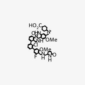 COc1cc(CNc2cccc(-c3cccc(-c4cc(F)c(CNCC5CCC(=O)N5)c(OC)c4)c3Cl)c2C=N)c([N+](=O)[O-])cc1CN(C)C1CCC(C(=O)O)CC1